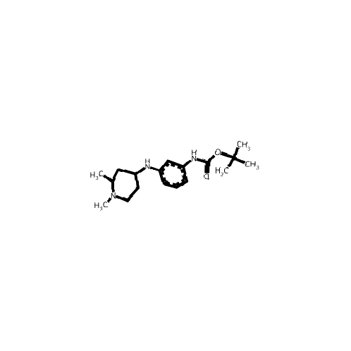 CC1CC(Nc2cccc(NC(=O)OC(C)(C)C)c2)CCN1C